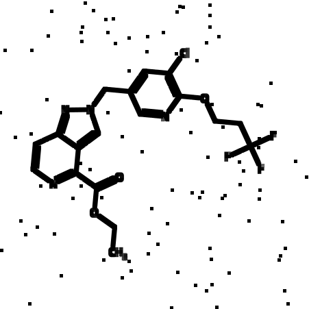 CCOC(=O)c1nccc2nn(Cc3cnc(OCCC(F)(F)F)c(Cl)c3)cc12